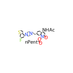 CCCCCC(=O)OCn1c(=O)cc(NC(C)=O)c2ccc(CCN3CCN(c4cc(F)cc5sccc45)CC3)cc21